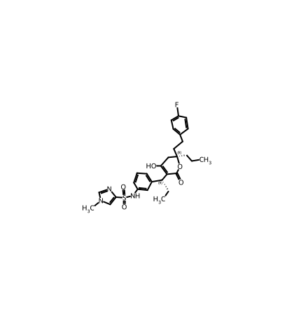 CCC[C@@]1(CCc2ccc(F)cc2)CC(O)=C([C@H](CC)c2cccc(NS(=O)(=O)c3cn(C)cn3)c2)C(=O)O1